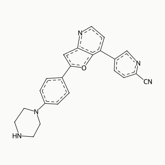 N#Cc1ccc(-c2ccnc3cc(-c4ccc(N5CCNCC5)cc4)oc23)cn1